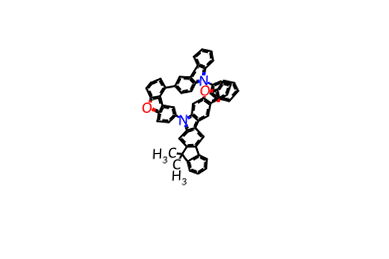 CC1(C)c2ccccc2-c2cc3c4cc5c(cc4n(-c4ccc6oc7cccc(-c8ccc9c(c8)c8ccccc8n9-c8ccccc8)c7c6c4)c3cc21)oc1ccccc15